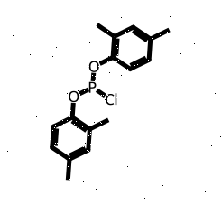 Cc1ccc(OP(Cl)Oc2ccc(C)cc2C)c(C)c1